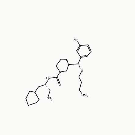 COCCCO[C@@H](c1cccc(C#N)c1)[C@@H]1CCCN(C(=O)N[C@H](CN)CC2CCCCC2)C1